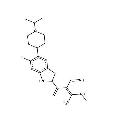 C=C(/C(C=N)=C(\N)NC)C1Cc2cc(C3CCN(C(C)C)CC3)c(F)cc2N1